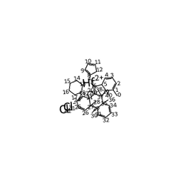 CC1=CC=CC2[CH]([Hf+2]([C]3=CC=CC3)=[C]3CCCCC3)C3(C)C4(C)C=CC=CC4(C)C4(C)C=CC=CC4(C)C3(C)C12C.[Cl-].[Cl-]